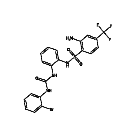 Nc1cc(C(F)(F)F)ccc1S(=O)(=O)Nc1ccccc1NC(=O)Nc1ccccc1Br